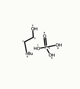 CCCCCCO.O=P(O)(O)O